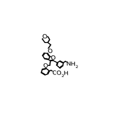 NCc1cccc(-c2oc3c(OCCC4CCOCC4)cccc3c2COc2ccccc2CC(=O)O)c1